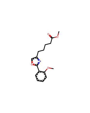 COC(=O)CCCCc1coc(-c2ccccc2OC)n1